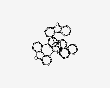 c1ccc(-c2nc(-c3cccc4oc5ccccc5c34)nc(-c3cccc4oc5cccc(-c6ccc7ccc8ccccc8c7c6)c5c34)n2)cc1